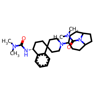 CN(C)C(=O)N[C@@H]1CCC2(CCN(C3CCC4CCC(CC3)N4C(=O)N(C)C)CC2)c2ccccc21